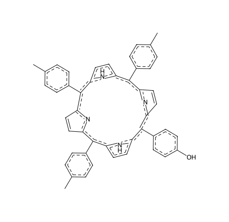 Cc1ccc(-c2c3nc(c(-c4ccc(C)cc4)c4ccc([nH]4)c(-c4ccc(O)cc4)c4nc(c(-c5ccc(C)cc5)c5ccc2[nH]5)C=C4)C=C3)cc1